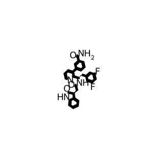 NC(=O)c1cccc(-c2cccnc2[C@H](Cc2cc(F)cc(F)c2)NC(=O)C[C@@H]2C(=O)Nc3ccccc32)c1